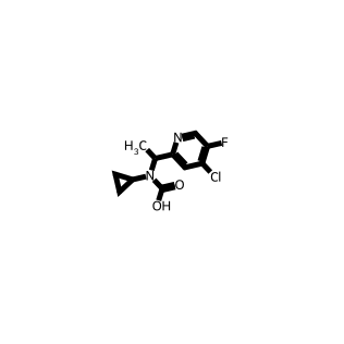 CC(c1cc(Cl)c(F)cn1)N(C(=O)O)C1CC1